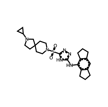 O=S(=O)(c1nnc(Nc2c3c(cc4c2CCC4)CCC3)[nH]1)N1CCC2(CCN(C3CC3)C2)CC1